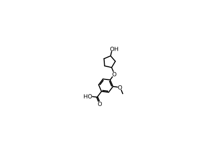 COc1cc(C(=O)O)ccc1OC1CCC(O)C1